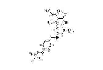 CO[C@H](C)C1C(=O)Nc2c(cc(NCc3ccc(OCC(F)(F)F)nc3)nc2C)N1C